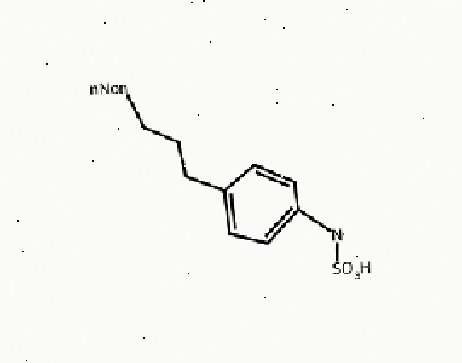 CCCCCCCCCCCCc1ccc([N]S(=O)(=O)O)cc1